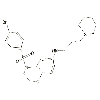 O=S(=O)(c1ccc(Br)cc1)N1CCSc2ccc(NCCCN3CCCCC3)cc21